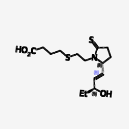 CC[C@H](O)/C=C/[C@H]1CCC(=S)N1CCSCCCC(=O)O